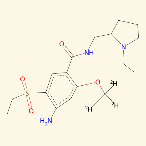 [2H]C([2H])([2H])Oc1cc(N)c(S(=O)(=O)CC)cc1C(=O)NCC1CCCN1CC